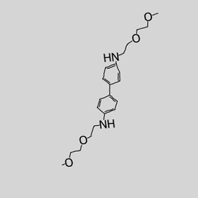 COCCOCCNc1ccc(-c2ccc(NCCOCCOC)cc2)cc1